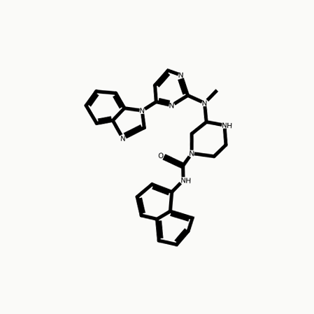 CN(c1nccc(-n2cnc3ccccc32)n1)C1CN(C(=O)Nc2cccc3ccccc23)CCN1